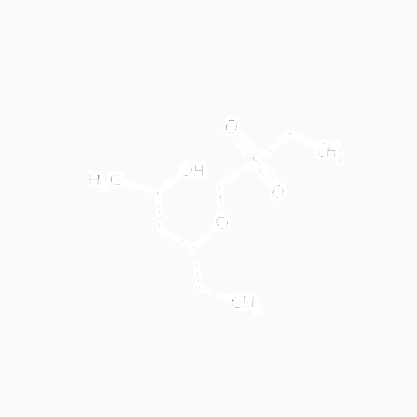 CCC(CC(C)O)OCS(=O)(=O)CC